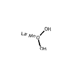 OOO.[La].[Mn]